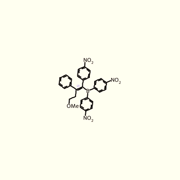 COCC/C(=C(\B(c1ccc([N+](=O)[O-])cc1)c1ccc([N+](=O)[O-])cc1)c1ccc([N+](=O)[O-])cc1)c1ccccc1